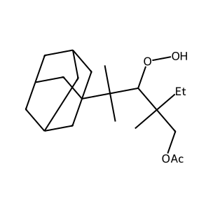 CCC(C)(COC(C)=O)C(OO)C(C)(C)C12CC3CC(CC(C3)C1)C2